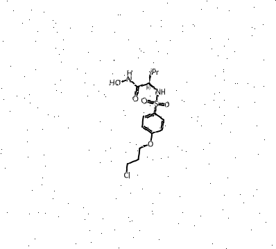 CC(C)[C@@H](NS(=O)(=O)c1ccc(OCCCCl)cc1)C(=O)NO